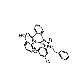 O=C(NOCc1ccccc1)[C@@H]1c2ccccc2C(=O)N(c2ncccc2O)[C@H]1c1ccc(Cl)cc1Cl